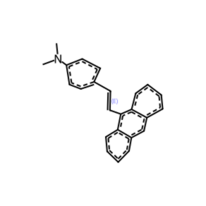 CN(C)c1ccc(/C=C/c2c3ccccc3cc3ccccc23)cc1